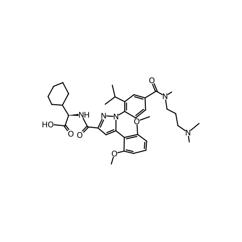 COc1cccc(OC)c1-c1cc(C(=O)N[C@@H](C(=O)O)C2CCCCC2)nn1-c1ccc(C(=O)N(C)CCCN(C)C)cc1C(C)C